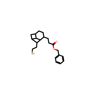 O=C(CCC1CCC2CC3C(CCS)C1C23)OCc1ccccc1